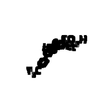 CCc1ccc(S(=O)(=O)Nc2ccc(-c3ccc(C(F)(F)F)cc3)cc2)cc1C(=O)O